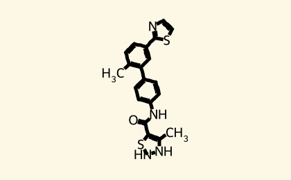 CC1=C(C(=O)Nc2ccc(-c3cc(-c4nccs4)ccc3C)cc2)SNN1